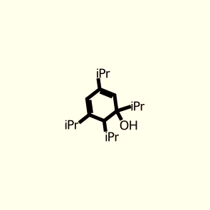 CC(C)C1=CC(O)(C(C)C)C(C(C)C)C(C(C)C)=C1